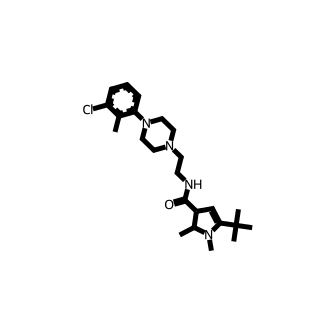 Cc1c(Cl)cccc1N1CCN(CCNC(=O)C2C=C(C(C)(C)C)N(C)C2C)CC1